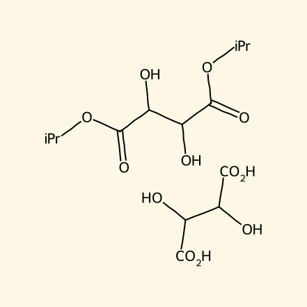 CC(C)OC(=O)C(O)C(O)C(=O)OC(C)C.O=C(O)C(O)C(O)C(=O)O